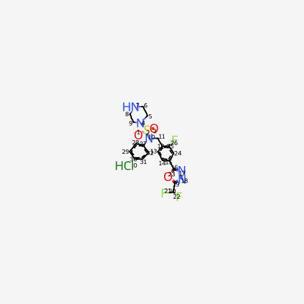 Cl.O=S(=O)(N1CCNCC1)N(Cc1ccc(-c2nnc(C(F)F)o2)cc1F)c1ccccc1